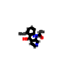 COc1ccccc1C(O)c1ccncc1NC(=O)C(C)(C)C